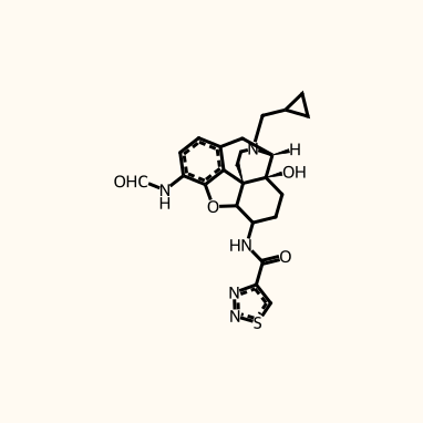 O=CNc1ccc2c3c1OC1C(NC(=O)c4csnn4)CC[C@@]4(O)[C@@H](C2)N(CC2CC2)CC[C@]314